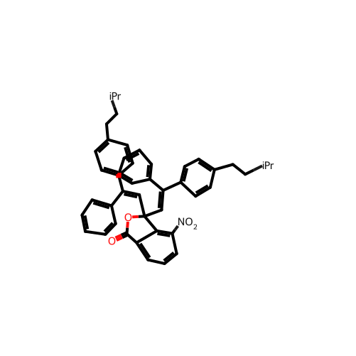 CC(C)CCc1ccc(/C(=C/C2(/C=C(\c3ccccc3)c3ccc(CCC(C)C)cc3)OC(=O)c3cccc([N+](=O)[O-])c32)c2ccccc2)cc1